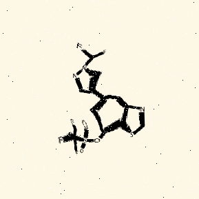 O=S(=O)(Oc1cc(-c2cnn(C(F)F)c2)cc2ncsc12)C(F)(F)F